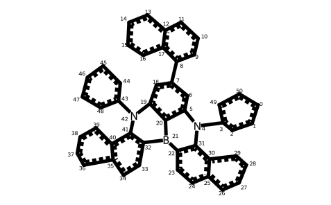 c1ccc(N2c3cc(-c4cccc5ccccc45)cc4c3B(c3ccc5ccccc5c32)c2ccc3ccccc3c2N4c2ccccc2)cc1